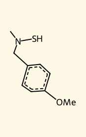 COc1ccc(CN(C)S)cc1